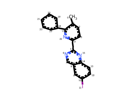 Cc1ccc(-c2ncc3cc(I)ccc3n2)nc1-c1ccccc1